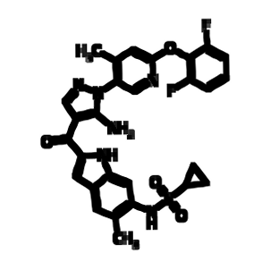 Cc1cc2cc(C(=O)c3cnn(-c4cnc(Oc5c(F)cccc5F)cc4C)c3N)[nH]c2cc1NS(=O)(=O)C1CC1